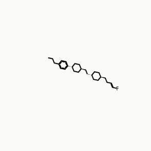 CCCc1ccc([C@H]2CC[C@H](CC[C@H]3CC[C@H](CC/C=C/F)CC3)CC2)cc1